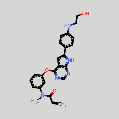 C=CC(=O)N(C)c1cccc(Oc2ncnc3[nH]c(-c4ccc(NCCO)cc4)cc23)c1